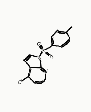 Cc1ccc(S(=O)(=O)n2ccc3c(Cl)[c]cnc32)cc1